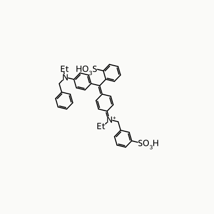 CCN(Cc1ccccc1)c1ccc(C(=C2C=CC(=[N+](CC)Cc3cccc(S(=O)(=O)O)c3)C=C2)c2ccccc2S(=O)(=O)O)cc1